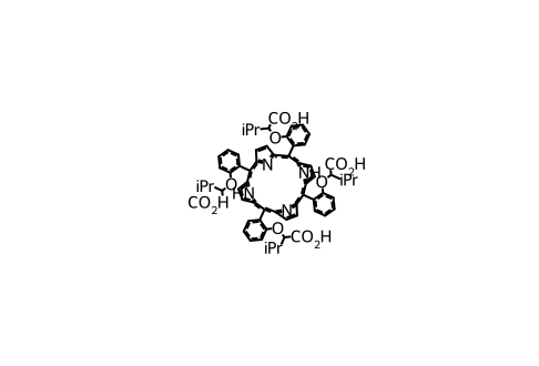 CC(C)C(Oc1ccccc1-c1c2nc(c(-c3ccccc3OC(C(=O)O)C(C)C)c3ccc([nH]3)c(-c3ccccc3OC(C(=O)O)C(C)C)c3nc(c(-c4ccccc4OC(C(=O)O)C(C)C)c4ccc1[nH]4)C=C3)C=C2)C(=O)O